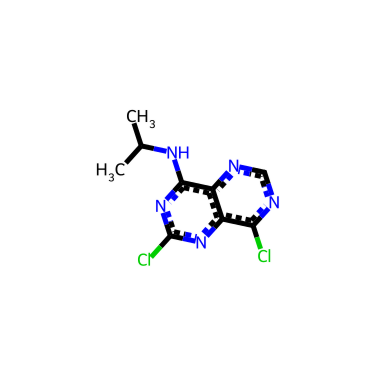 CC(C)Nc1nc(Cl)nc2c(Cl)ncnc12